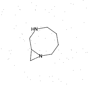 C1CCN2CC2CNC1